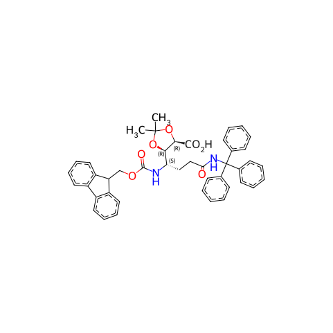 CC1(C)O[C@H]([C@H](CCC(=O)NC(c2ccccc2)(c2ccccc2)c2ccccc2)NC(=O)OCC2c3ccccc3-c3ccccc32)[C@H](C(=O)O)O1